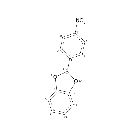 O=[N+]([O-])c1ccc(B2Oc3ccccc3O2)cc1